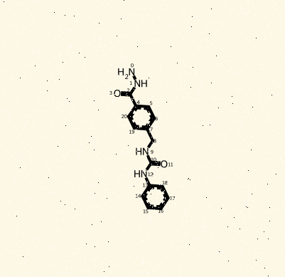 NNC(=O)c1ccc(CNC(=O)Nc2ccccc2)cc1